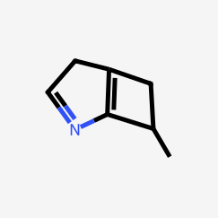 CC1CC2=C1N=CC2